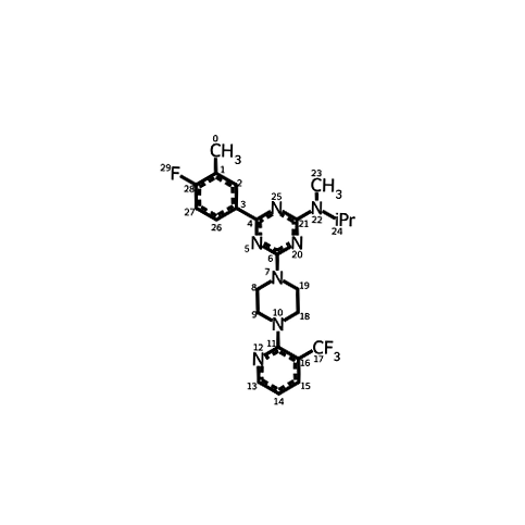 Cc1cc(-c2nc(N3CCN(c4ncccc4C(F)(F)F)CC3)nc(N(C)C(C)C)n2)ccc1F